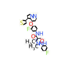 C/C(=C(/C=O)C(=O)Nc1ccc(Oc2ccnn3ccc(-c4ccsc4)c23)c(F)c1)N(C)Nc1ccc(F)cc1